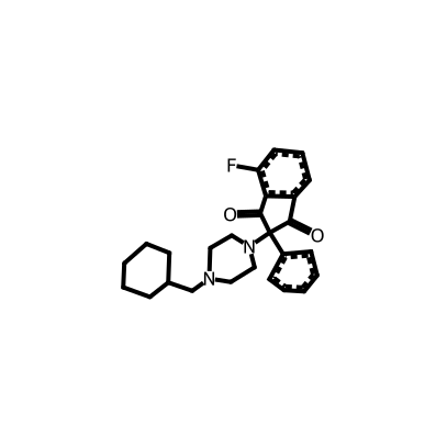 O=C1c2cccc(F)c2C(=O)C1(c1ccccc1)N1CCN(CC2CCCCC2)CC1